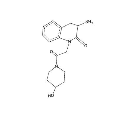 NC1Cc2ccccc2N(CC(=O)N2CCC(O)CC2)C1=O